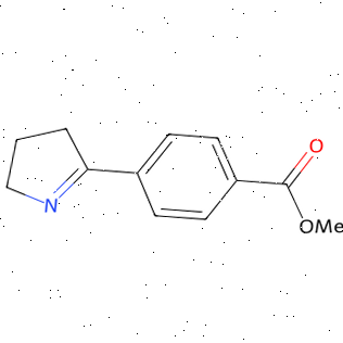 COC(=O)c1ccc(C2=NCCC2)cc1